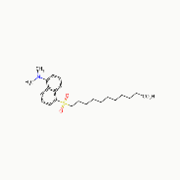 CN(C)c1cccc2c(S(=O)(=O)CCCCCCCCCCC(=O)O)cccc12